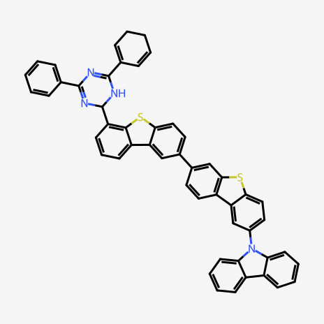 C1=CC(C2=NC(c3ccccc3)=NC(c3cccc4c3sc3ccc(-c5ccc6c(c5)sc5ccc(-n7c8ccccc8c8ccccc87)cc56)cc34)N2)=CCC1